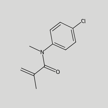 C=C(C)C(=O)N(C)c1ccc(Cl)cc1